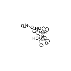 O=C(NC(Cc1ccccc1)C(O)CC(Cc1ccc(OCCN2CCOCC2)cc1)C(=O)N[C@H]1c2ccccc2C[C@@H]1O)OC1CCCOC1